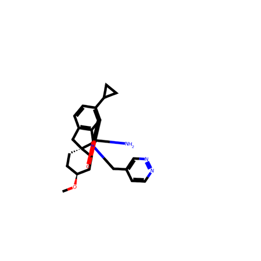 CO[C@H]1CC[C@]2(CC1)Cc1ccc(C3CC3)cc1C21N=C(N)N(Cc2ccnnc2)C1=O